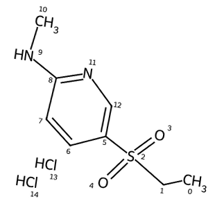 CCS(=O)(=O)c1ccc(NC)nc1.Cl.Cl